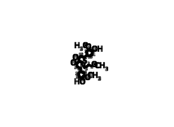 COCCCN1c2sc(-c3ccc(O)c(OC)c3)cc(=O)c2C(=O)CC1c1ccc(O)c(OC)c1